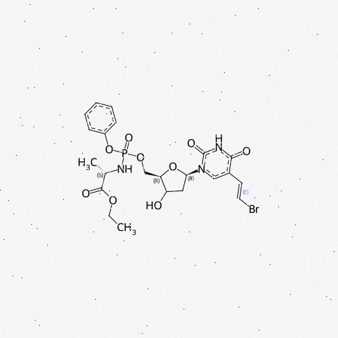 CCOC(=O)[C@H](C)NP(=O)(OC[C@H]1O[C@@H](n2cc(/C=C/Br)c(=O)[nH]c2=O)CC1O)Oc1ccccc1